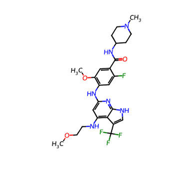 COCCNc1cc(Nc2cc(F)c(C(=O)NC3CCN(C)CC3)cc2OC)nc2[nH]cc(C(F)(F)F)c12